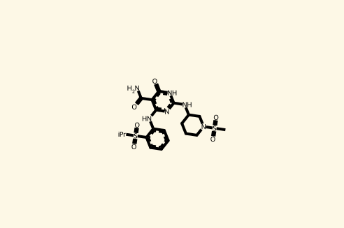 CC(C)S(=O)(=O)c1ccccc1Nc1nc(NC2CCCN(S(C)(=O)=O)C2)[nH]c(=O)c1C(N)=O